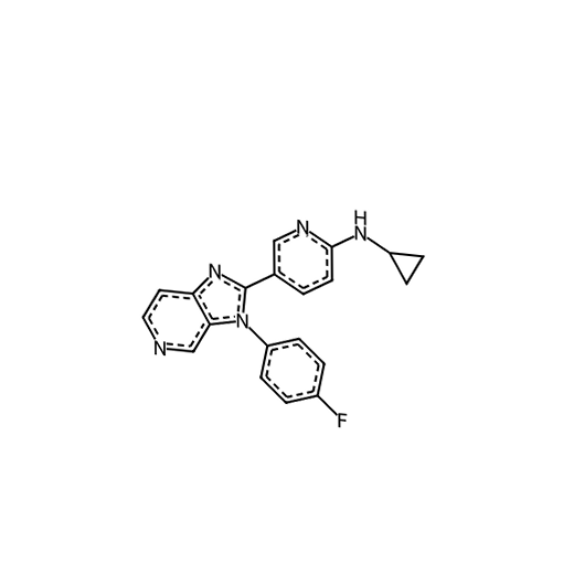 Fc1ccc(-n2c(-c3ccc(NC4CC4)nc3)nc3ccncc32)cc1